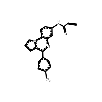 C=CC(=O)Nc1ccc2c(c1)nc(-c1ccc(C(F)(F)F)cc1)c1cccn12